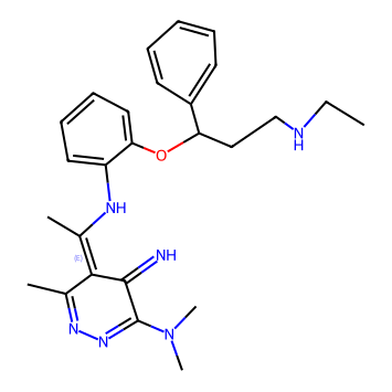 CCNCCC(Oc1ccccc1N/C(C)=C1\C(=N)C(N(C)C)=NN=C1C)c1ccccc1